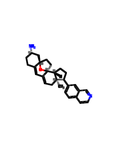 C[C@]12CC=C3C=C4CC[C@H](N)C[C@]45CC[C@]3(O5)[C@@H]1CCC2c1ccc2ccncc2c1